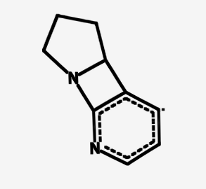 [c]1ccnc2c1C1CCCN21